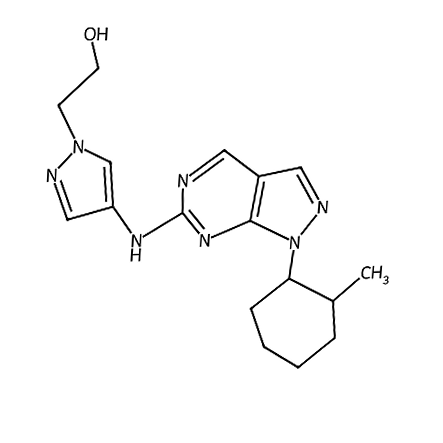 CC1CCCCC1n1ncc2cnc(Nc3cnn(CCO)c3)nc21